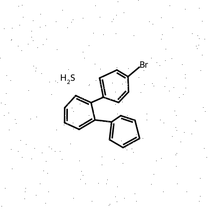 Brc1ccc(-c2ccccc2-c2ccccc2)cc1.S